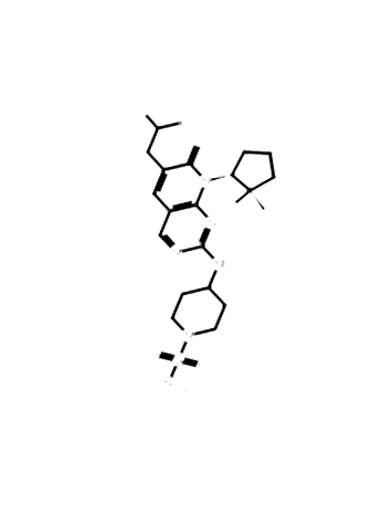 C[C@]1(O)CCC[C@@H]1n1c(=O)c(CC(F)F)cc2cnc(NC3CCN(S(N)(=O)=O)CC3)nc21